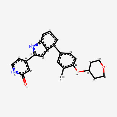 N#Cc1cc(-c2cccc3[nH]c(-c4cc[nH]c(=O)c4)cc23)ccc1OC1CCOCC1